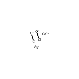 [Ag].[Ca+2].[O-]Cl.[O-]Cl